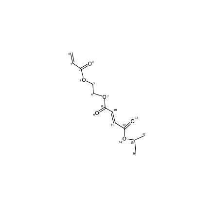 C=CC(=O)OCCOC(=O)/C=C/C(=O)OC(C)C